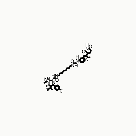 Cc1nc2ccc(NCC(=O)NCCCCCCCCNC(=O)C[C@@H]3N=C(c4ccc(Cl)cc4)c4c(sc(C)c4C)-n4c(C)nnc43)cc2cc1C1CCC(=O)NC1=O